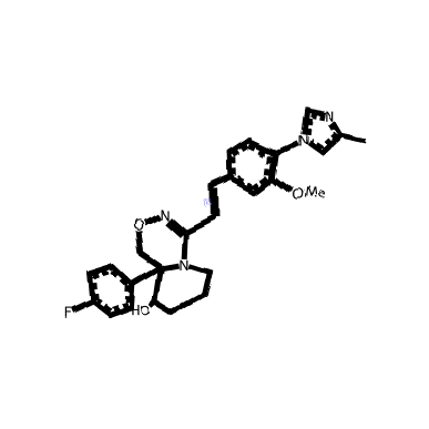 COc1cc(/C=C/C2=NOCC3(c4ccc(F)cc4)C(O)CCCN23)ccc1-n1cnc(C)c1